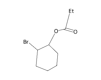 CCC(=O)OC1CCCCC1Br